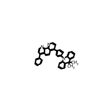 CC1(C)c2ccccc2N(c2ccc(-c3ccnc4c3ccc3c(-c5ccccc5)ccnc34)cc2)c2ccccc21